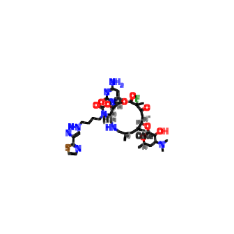 CC[C@H]1OC(=O)C(C)(F)C(=O)[C@H](C)[C@@H](O[C@@H]2O[C@H](C)CC(N(C)C)C2O)[C@](C)(OC)C[C@@H](C)CN[C@H](C)[C@H]2N(CCCCn3cc(-c4nccs4)nn3)C(=O)O[C@]12n1ccc(N)nc1=O